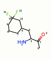 CC(=O)C(N)CC1CCCC(F)(F)C1